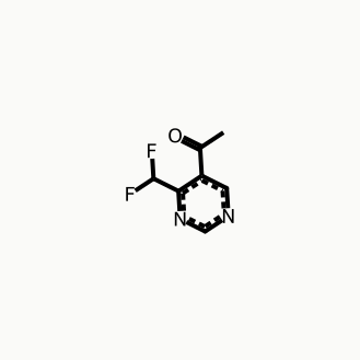 CC(=O)c1cncnc1C(F)F